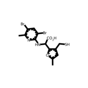 Cc1cc(CS)c(C(Nc2nc(C)c(Br)cc2Br)C(=O)O)o1